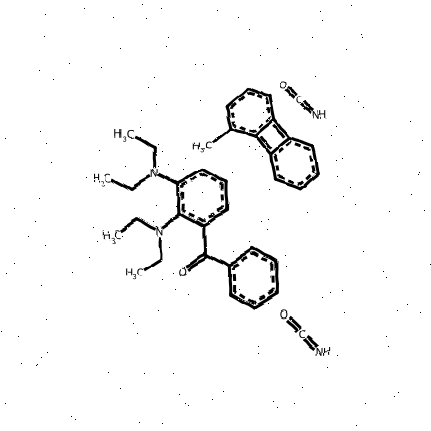 CCN(CC)c1cccc(C(=O)c2ccccc2)c1N(CC)CC.Cc1cccc2c1=c1ccccc1=2.N=C=O.N=C=O